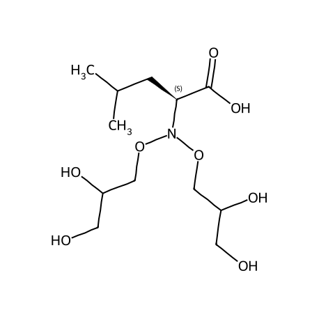 CC(C)C[C@@H](C(=O)O)N(OCC(O)CO)OCC(O)CO